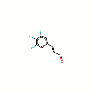 O=CC=Cc1cc(F)c(F)c(F)c1